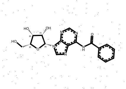 O=C(Nc1ncnc2c1ncn2[C@@H]1O[C@H](CO)[C@H](O)[C@@H]1O)c1ccccc1